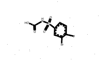 O=C(O)NS(=O)(=O)c1ccc(F)c(Br)c1